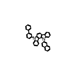 c1ccc(-c2cccc(-n3c4ccccc4c4c3ccc3c5ccccc5n(-c5ccc6ccccc6c5)c34)c2)cc1